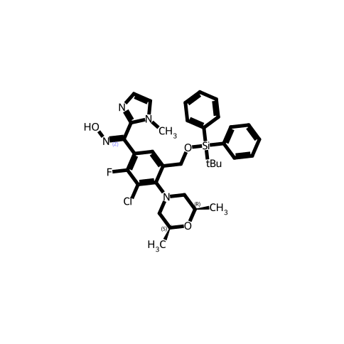 C[C@@H]1CN(c2c(CO[Si](c3ccccc3)(c3ccccc3)C(C)(C)C)cc(/C(=N/O)c3nccn3C)c(F)c2Cl)C[C@H](C)O1